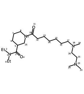 CCN(CC)C(=O)C1CCCN(C(=O)CCCCCCN(C)CCN(C)C)C1